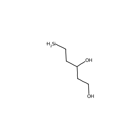 OCCC(O)CC[SiH2]